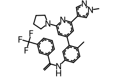 C=C(Nc1ccc(C)c(-c2cc(-c3cnn(C)c3)nc(N3CCCC3)c2)c1)c1cccc(C(F)(F)F)c1